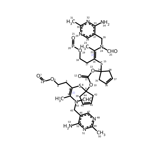 C/C(=C(\CCOP=O)SC1(OC(=O)OC2(S/C(CCOP=O)=C(/C)N(C=O)Cc3cnc(C)nc3N)CC=CC2)CC=CC1)N(C=O)Cc1cnc(C)nc1N